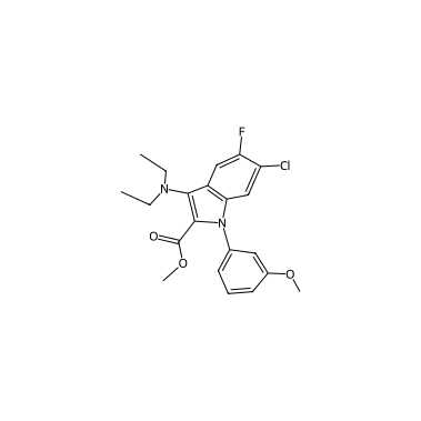 CCN(CC)c1c(C(=O)OC)n(-c2cccc(OC)c2)c2cc(Cl)c(F)cc12